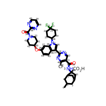 CC1CC2CC(C1)C(NC(=O)c1cnc(-c3cn(C4CCC(F)(F)CC4)c4cc(OC5CCN(C(=O)c6ncccn6)CC5)ccc34)nc1C(F)(F)F)(C(=O)O)C2